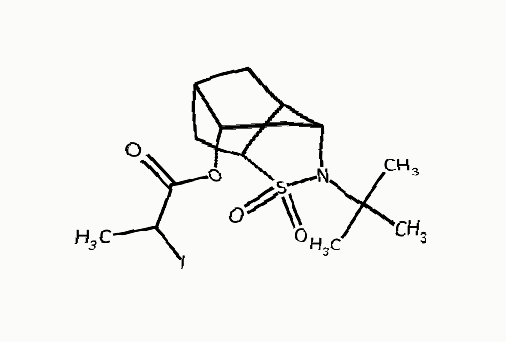 CC(I)C(=O)OC1C2CC3C1N(C(C)(C)C)S(=O)(=O)C3C2